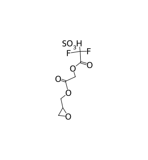 O=C(COC(=O)C(F)(F)S(=O)(=O)O)OCC1CO1